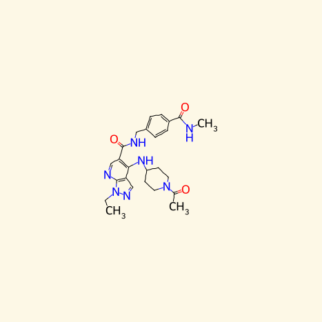 CCn1ncc2c(NC3CCN(C(C)=O)CC3)c(C(=O)NCc3ccc(C(=O)NC)cc3)cnc21